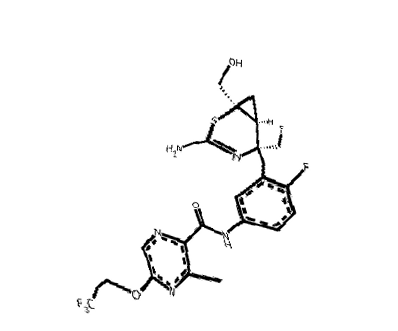 Cc1nc(OCC(F)(F)F)cnc1C(=O)Nc1ccc(F)c([C@@]2(CF)N=C(N)S[C@@]3(CO)C[C@H]32)c1